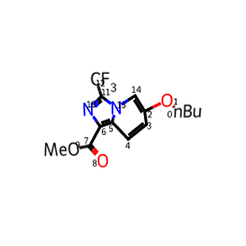 CCCCOc1ccc2c(C(=O)OC)nc(C(F)(F)F)n2c1